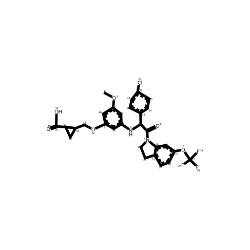 COc1cc(NC(C(=O)N2CCc3ccc(OC(F)(F)F)cc32)c2ccc(Cl)cc2)cc(OCC2CC2C(=O)O)c1